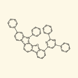 c1ccc(-c2ccc3c4ccc5c6cccc(-c7cc(-c8ccccc8)nc(-c8ccccc8)n7)c6oc5c4n(-c4ccccc4)c3c2)cc1